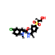 C[C@H](CO)S(=O)(=O)c1ccc([C@@H](C)NC(=O)c2cc3cc(Cl)ccc3n2C)cc1